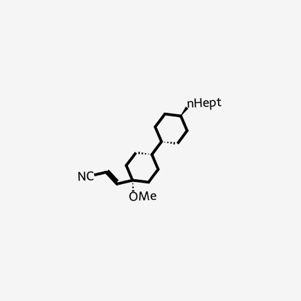 CCCCCCC[C@H]1CC[C@H]([C@H]2CC[C@@](C=CC#N)(OC)CC2)CC1